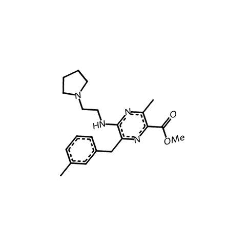 COC(=O)c1nc(Cc2cccc(C)c2)c(NCCN2CCCC2)nc1C